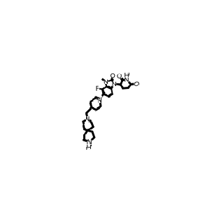 Cn1c(=O)n(C2CCC(=O)NC2=O)c2ccc(N3CCC(CN4CCC5(CCNCC5)CC4)CC3)c(F)c21